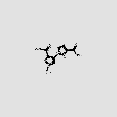 COC(=O)c1ccn(-c2cn(C)nc2C(=O)OC)n1